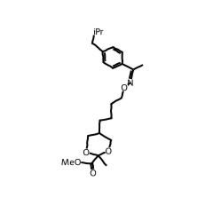 COC(=O)C1(C)OCC(CCCCON=C(C)c2ccc(CC(C)C)cc2)CO1